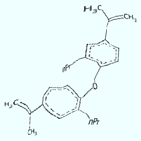 C=C(C)c1ccc(Oc2ccc(C(=C)C)cc2CCC)c(CCC)c1